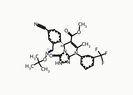 COC(=O)C1=C(C)N(c2cccc(C(F)(F)F)c2)c2n[nH]c(=O)n2[C@@H]1c1ccc(C#N)cc1/C=N/OC(C)(C)C